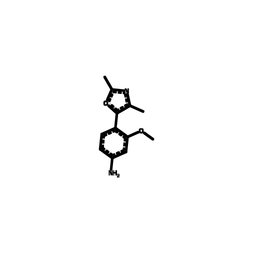 COc1cc(N)ccc1-c1oc(C)nc1C